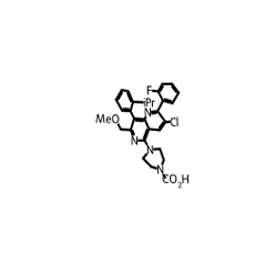 COCc1nc(N2CCN(C(=O)O)CC2)c2cc(Cl)c(-c3ccccc3F)nc2c1-c1ccccc1C(C)C